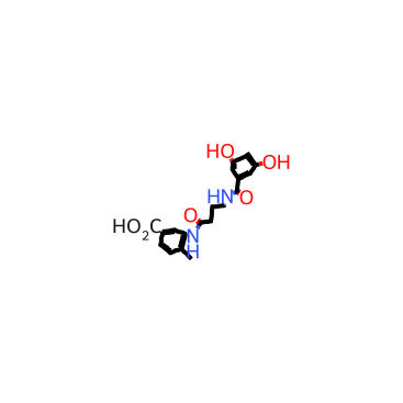 Cc1ccc(C(=O)O)cc1NC(=O)CCCNC(=O)c1cc(O)cc(O)c1